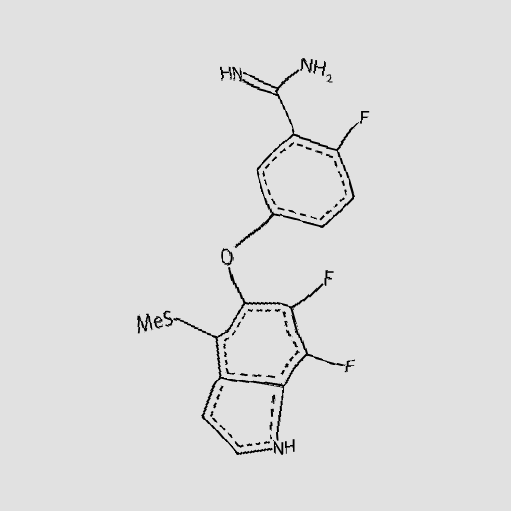 CSc1c(Oc2ccc(F)c(C(=N)N)c2)c(F)c(F)c2[nH]ccc12